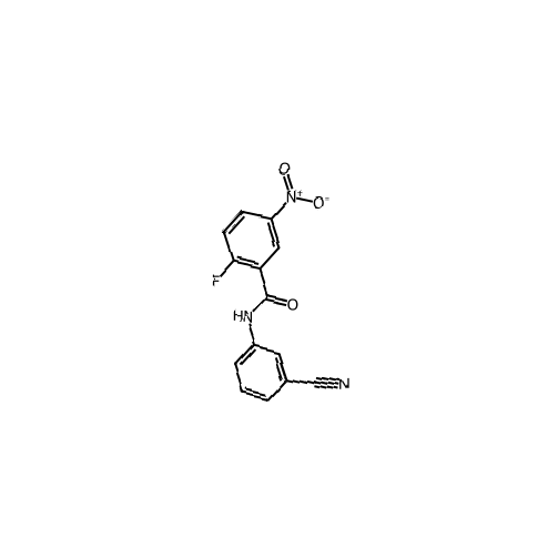 N#Cc1cccc(NC(=O)c2cc([N+](=O)[O-])ccc2F)c1